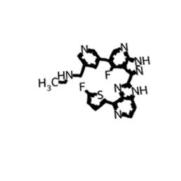 CCNCc1cncc(-c2cnc3[nH]nc(-c4nc5c(-c6ccc(F)s6)nccc5[nH]4)c3c2F)c1